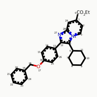 CCOC(=O)c1ccn2c(C3CCCCC3)c(-c3ccc(OCc4ccccc4)cc3)nc2c1